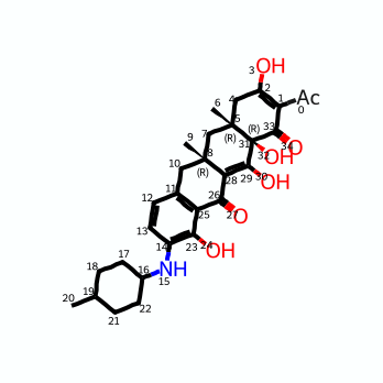 CC(=O)C1=C(O)C[C@@]2(C)C[C@@]3(C)Cc4ccc(NC5CCC(C)CC5)c(O)c4C(=O)C3=C(O)[C@@]2(O)C1=O